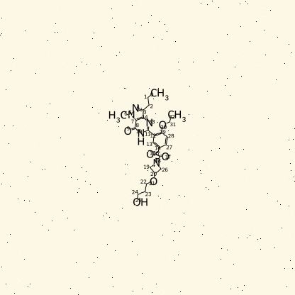 CCCc1nn(C)c2c(=O)[nH]c(-c3cc(S(=O)(=O)N4CC(OCCCO)C4)ccc3OCC)nc12